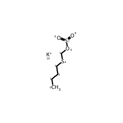 CCCCSCO[S-](=O)=O.[K+]